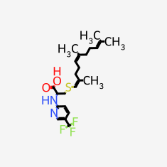 CC(C)=CCCC(C)=CCCC(C)=CSCC(Nc1ccc(C(F)(F)F)cn1)C(=O)O